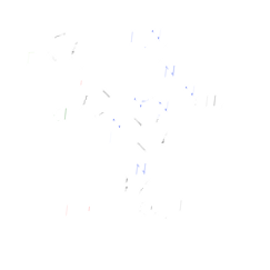 CN1CCN(CCN)CC1.O=C(O)c1cn(-c2ccc3ncnc(Nc4ccc(OCc5cccc(F)c5)c(Cl)c4)c3c2)cc1CCO